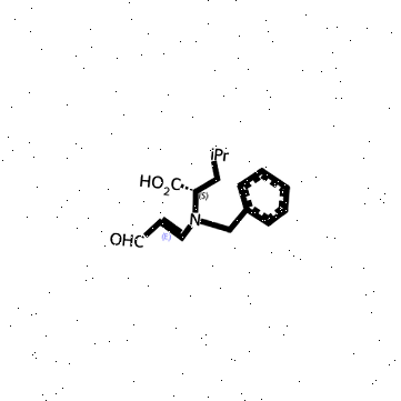 CC(C)C[C@@H](C(=O)O)N(/C=C/C=O)Cc1ccccc1